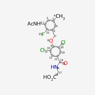 CC(=O)Nc1cc(C)cc(COc2c(Cl)cc(C(=O)NCC(=O)O)cc2Cl)c1F